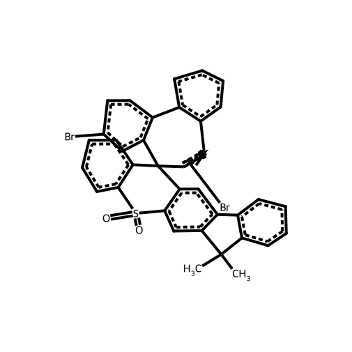 CC1(C)c2ccccc2-c2cc3c(cc21)S(=O)(=O)c1ccccc1C31c2cc(Br)ccc2-c2ccccc2-c2ccc(Br)cc21